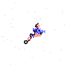 Cc1ccc(-c2nc(NC(C)(C)C)nc3c(C(O)c4cccc(COCc5ccccc5)n4)cnn23)o1